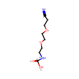 N#CCCOCCOCCNC(=O)O